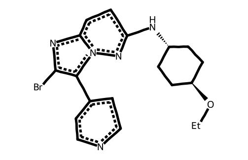 CCO[C@H]1CC[C@H](Nc2ccc3nc(Br)c(-c4ccncc4)n3n2)CC1